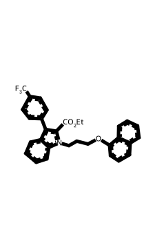 CCOC(=O)c1c(-c2ccc(C(F)(F)F)cc2)c2ccccc2n1CCCOc1cccc2ccccc12